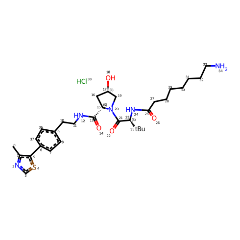 Cc1ncsc1-c1ccc(CCNC(=O)[C@@H]2C[C@@H](O)CN2C(=O)[C@@H](NC(=O)CCCCCCCN)C(C)(C)C)cc1.Cl